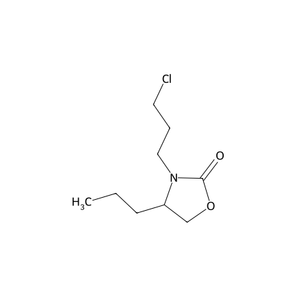 CCCC1COC(=O)N1CCCCl